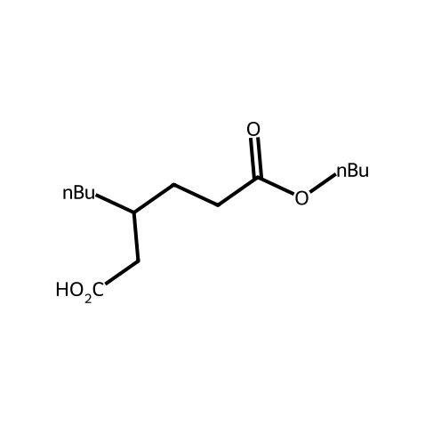 CCCCOC(=O)CCC(CCCC)CC(=O)O